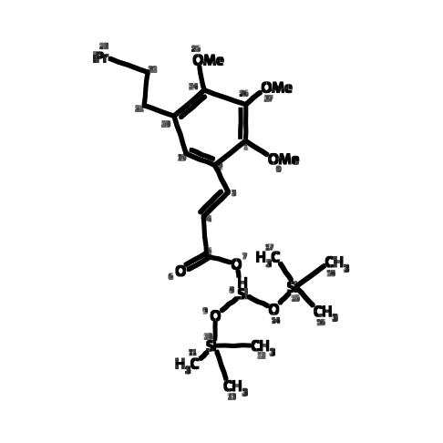 COc1c(C=CC(=O)O[SiH](O[Si](C)(C)C)O[Si](C)(C)C)cc(CCC(C)C)c(OC)c1OC